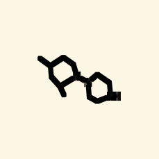 CC1CCN(N2CCNCC2)C(C)C1